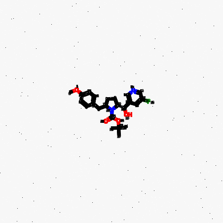 COc1ccc(CC2CC[C@@H](C(O)c3cncc(F)c3)N2C(=O)OC(C)(C)C)cc1